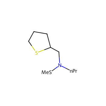 CCCN(CC1CCCS1)SC